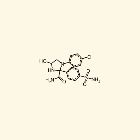 NC(=O)C1(c2ccc(S(N)(=O)=O)cc2)NC(O)CN1c1ccc(Cl)cc1